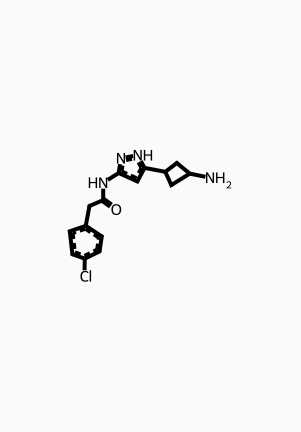 NC1CC(c2cc(NC(=O)Cc3ccc(Cl)cc3)n[nH]2)C1